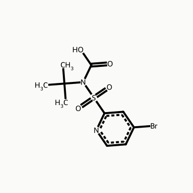 CC(C)(C)N(C(=O)O)S(=O)(=O)c1cc(Br)ccn1